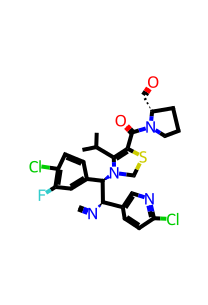 C=N[C@@H](c1ccc(Cl)nc1)[C@@H](c1ccc(Cl)c(F)c1)N1CSC(C(=O)N2CCC[C@H]2C=O)=C1C(C)C